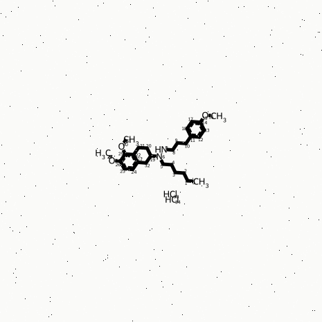 CCCCCCN(NCCCc1ccc(OC)cc1)C1CCc2c(ccc(OC)c2OC)C1.Cl.Cl